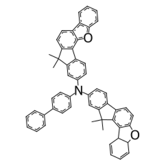 CC1(C)c2cc(N(c3ccc(-c4ccccc4)cc3)c3ccc4c(c3)C(C)(C)c3c-4ccc4c3C3C=CC=CC3O4)ccc2-c2c1ccc1c2oc2ccccc21